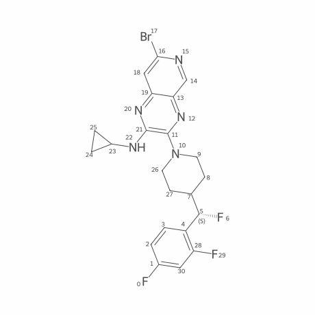 Fc1ccc([C@@H](F)C2CCN(c3nc4cnc(Br)cc4nc3NC3CC3)CC2)c(F)c1